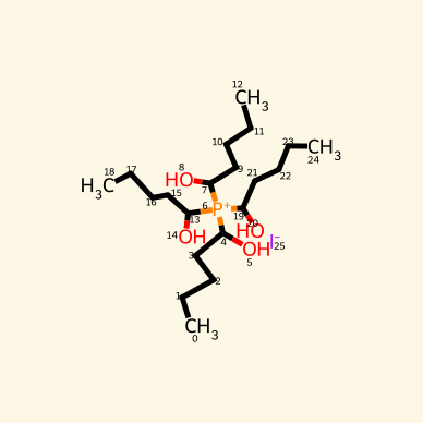 CCCCC(O)[P+](C(O)CCCC)(C(O)CCCC)C(O)CCCC.[I-]